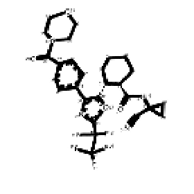 N#CC1(NC(=O)[C@@H]2CCCC[C@H]2c2oc(C(F)(F)C(F)(F)F)nc2-c2ccc(C(=O)N3CCOCC3)cc2)CC1